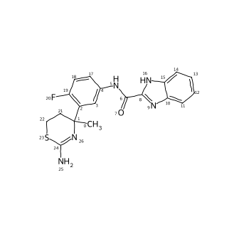 CC1(c2cc(NC(=O)c3nc4ccccc4[nH]3)ccc2F)CCSC(N)=N1